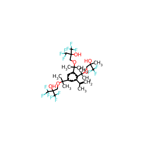 C=C(C)c1cc(C(C)(C)OCC(O)(C(F)(F)F)C(F)(F)F)cc(C(C)(C)OCC(O)(C(F)(F)F)C(F)(F)F)c1C(C)(C)OCC(C)(O)C(F)(F)F